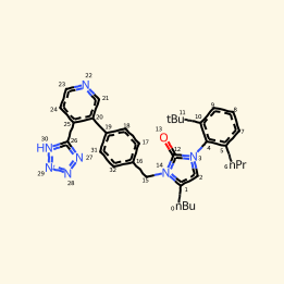 CCCCc1cn(-c2c(CCC)cccc2C(C)(C)C)c(=O)n1Cc1ccc(-c2cnccc2-c2nnn[nH]2)cc1